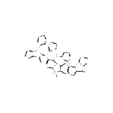 CC1(C)c2ccccc2-c2c(-c3cccc(N(c4ccccc4-c4cccc5c6ccccc6n(-c6ccccc6)c45)c4cccc5c4-c4ccccc4C5(C)C)c3)cccc21